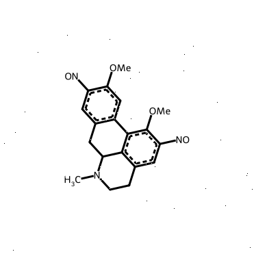 COc1cc2c(cc1N=O)CC1c3c(cc(N=O)c(OC)c3-2)CCN1C